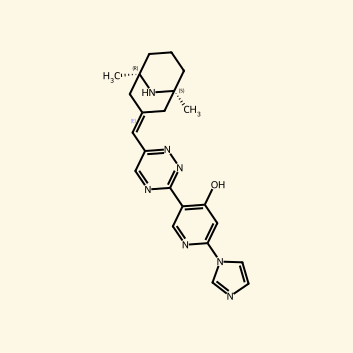 C[C@]12CCC[C@](C)(C/C(=C/c3cnc(-c4cnc(-n5ccnc5)cc4O)nn3)C1)N2